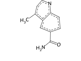 Cc1ccnc2ccc(C(N)=O)cc12